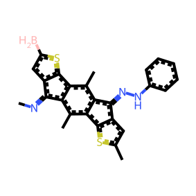 Bc1cc2/c(=N\C)c3c(C)c4c(c(C)c3c2s1)/c(=N/Nc1ccccc1)c1cc(C)sc14